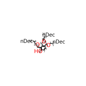 CCCCCCCCCCCCOCc1ccc(O)c(COCCCCCCCCCCCC)c1COCCCCCCCCCCCC